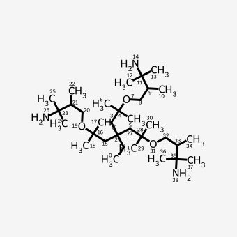 CCC(CC(C)(C)OCC(C)C(C)(C)N)(CC(C)(C)OCC(C)C(C)(C)N)CC(C)(C)OCC(C)C(C)(C)N